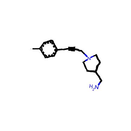 [CH2]c1ccc(C#CCN2CCC(CN)CC2)cc1